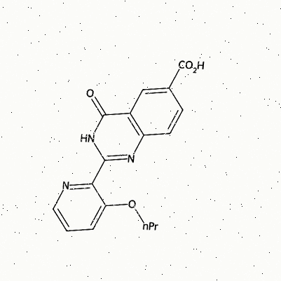 CCCOc1cccnc1-c1nc2ccc(C(=O)O)cc2c(=O)[nH]1